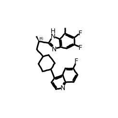 Cc1c(F)c(F)cc2nc([C@H](C)CC3CCC(c4ccnc5ccc(F)cc45)CC3)[nH]c12